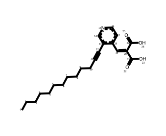 CCCCCCCCCCCC#Cc1cnccc1C=C(C(=O)O)C(=O)O